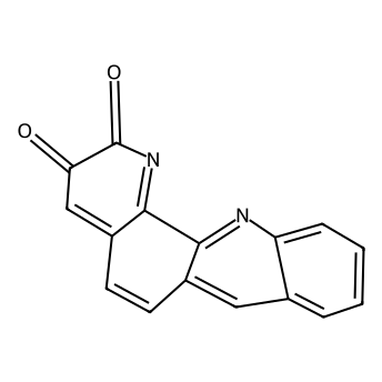 O=C1C=c2ccc3cc4ccccc4nc3c2=NC1=O